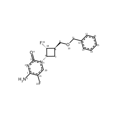 Nc1nc(=O)n([C@H]2C[C@H](COCc3ccccc3)[C@H]2F)cc1F